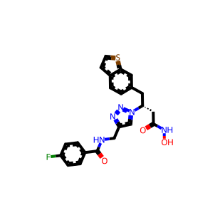 O=C(C[C@@H](Cc1ccc2ccsc2c1)n1cc(CNC(=O)c2ccc(F)cc2)nn1)NO